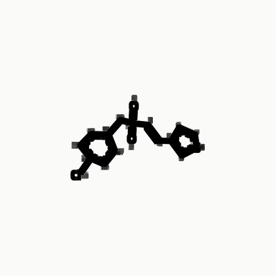 O=S(=O)(C=Cc1ccsc1)Cc1ccc(Cl)cc1